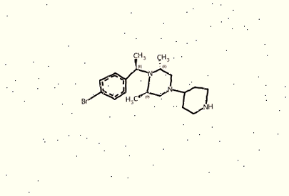 C[C@@H]1CN(C2CCNCC2)C[C@@H](C)N1[C@H](C)c1ccc(Br)cc1